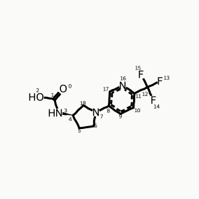 O=C(O)N[C@@H]1CCN(c2ccc(C(F)(F)F)nc2)C1